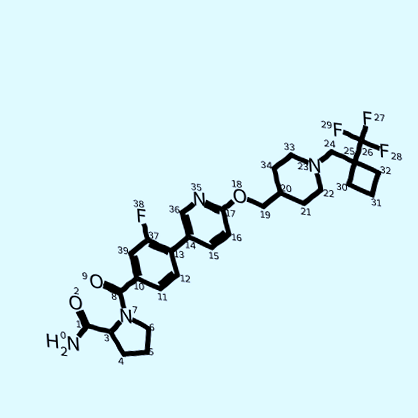 NC(=O)C1CCCN1C(=O)c1ccc(-c2ccc(OCC3CCN(CC4(C(F)(F)F)CCC4)CC3)nc2)c(F)c1